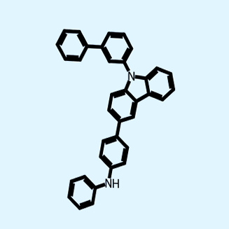 c1ccc(Nc2ccc(-c3ccc4c(c3)c3ccccc3n4-c3cccc(-c4ccccc4)c3)cc2)cc1